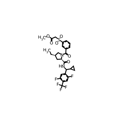 CC[C@@H]1C[C@H](C(=O)NC(c2cc(F)c(C(F)(F)F)cc2F)C2CC2)N(C(=O)c2cccc(S(=O)(=O)CC(=O)OC)c2)C1